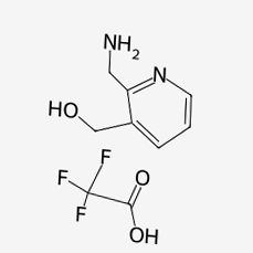 NCc1ncccc1CO.O=C(O)C(F)(F)F